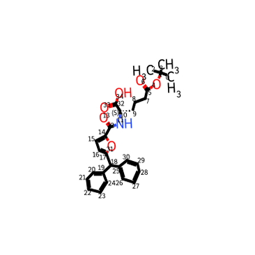 CC(C)(C)OC(=O)CCC[C@H](NC(=O)c1ccc(C(c2ccccc2)c2ccccc2)o1)C(=O)O